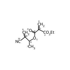 C=C(C(=O)OCC)C(=O)OC(C)C(=C)C#N